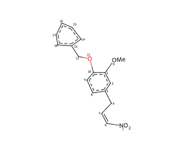 COc1cc(C/C=C\[N+](=O)[O-])ccc1OCc1ccccc1